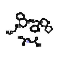 CCO[C@H]1CC[C@H](NCC[C@@]2(c3ccccn3)CCOC3(CCCC3)C2)c2ccccc21.O=C(O)/C=C/C(=O)O